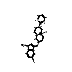 Cn1cc(C[C@@H]2CC[C@H]3CN(c4ncccn4)CCN3C2)c2cc(F)ccc21